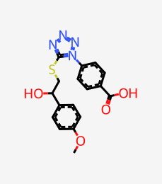 COc1ccc(C(O)CSc2nnnn2-c2ccc(C(=O)O)cc2)cc1